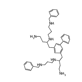 NCCC(Cc1cc(CC(CCN)NCCCNCc2ccccc2)cc(-c2ccccc2)c1)NCCCNCc1ccccc1